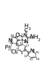 CN1C(=O)C(c2cc(Cl)cc(-c3ccccn3)c2)(c2ccnc(CF)c2)N=C1N